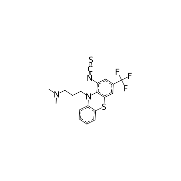 CN(C)CCCN1c2ccccc2Sc2cc(C(F)(F)F)cc(N=C=S)c21